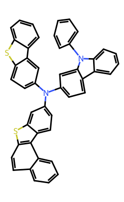 c1ccc(-n2c3ccccc3c3ccc(N(c4ccc5c(c4)sc4ccc6ccccc6c45)c4ccc5sc6ccccc6c5c4)cc32)cc1